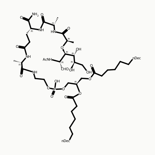 CCCCCCCCCCCCCCCC(=O)OC[C@H](COP(=O)(O)OCCNC(=O)[C@H](C)NC(=O)CC[C@@H](NC(=O)[C@H](C)NC(=O)[C@@H](C)O[C@@H]([C@H](O)[C@H](O)CO)[C@H](C=O)NC(C)=O)C(N)=O)OC(=O)CCCCCCCCCCCCCCC